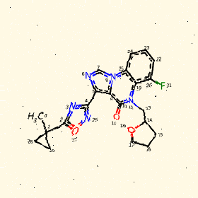 CC1(c2nc(-c3ncn4c3c(=O)n(CC3CCCO3)c3c(F)cccc34)no2)CC1